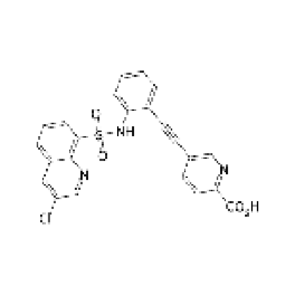 O=C(O)c1ccc(C#Cc2ccccc2NS(=O)(=O)c2cccc3cc(Cl)cnc23)cn1